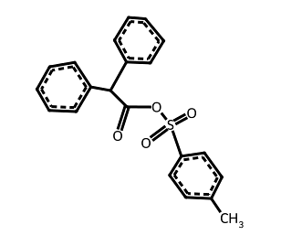 Cc1ccc(S(=O)(=O)OC(=O)C(c2ccccc2)c2ccccc2)cc1